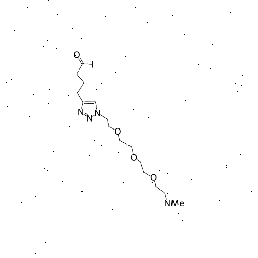 CNCCOCCOCCOCCn1cc(CCCC(=O)I)nn1